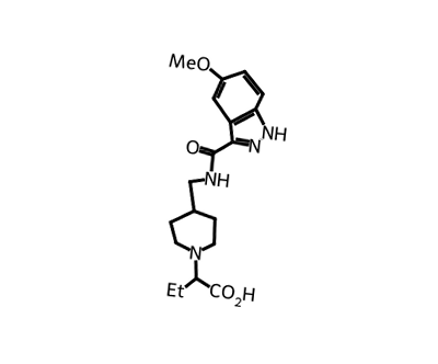 CCC(C(=O)O)N1CCC(CNC(=O)c2n[nH]c3ccc(OC)cc23)CC1